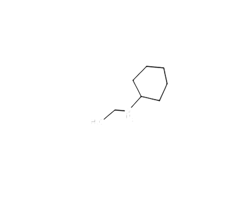 CC[SiH2][C]1CC[CH]CC1